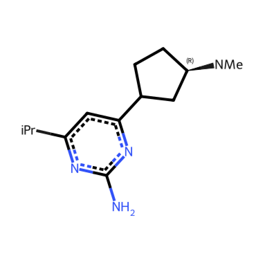 CN[C@@H]1CCC(c2cc(C(C)C)nc(N)n2)C1